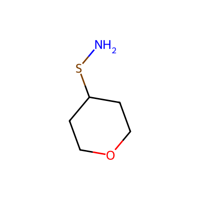 NSC1CCOCC1